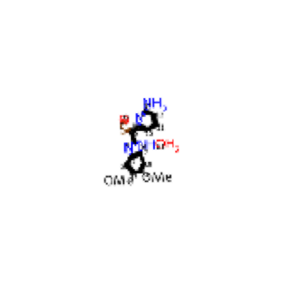 COc1cc2nc(C(=S=O)c3cccc(N)n3)[nH]c2cc1OC.O